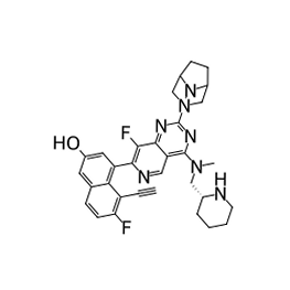 C#Cc1c(F)ccc2cc(O)cc(-c3ncc4c(N(C)C[C@H]5CCCCN5)nc(N5CC6CCC(C5)N6C)nc4c3F)c12